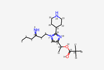 CCCC(=N)CCn1cc(C(C)OC(=O)C(C)(C)C)nc1C1CCNCC1